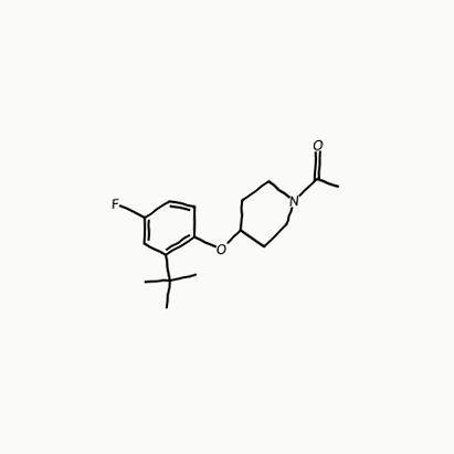 CC(=O)N1CCC(Oc2ccc(F)cc2C(C)(C)C)CC1